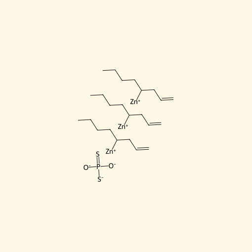 C=CC[CH]([Zn+])CCCC.C=CC[CH]([Zn+])CCCC.C=CC[CH]([Zn+])CCCC.[O-]P([O-])(=S)[S-]